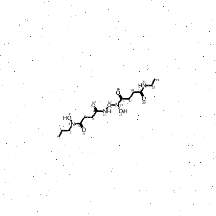 CCCN(O)C(=O)CCC(=O)NON(O)C(=O)CCC(=O)NCC